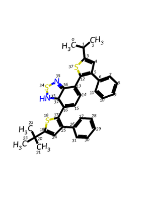 CC(C)c1cc(-c2ccccc2)c(C2=CC=C(c3sc(C(C)(C)C)cc3-c3ccccc3)C3NSN=C23)s1